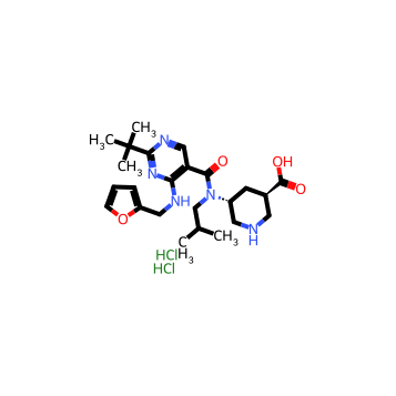 CC(C)CN(C(=O)c1cnc(C(C)(C)C)nc1NCc1ccco1)[C@H]1CNC[C@H](C(=O)O)C1.Cl.Cl